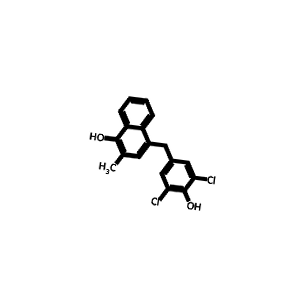 Cc1cc(Cc2cc(Cl)c(O)c(Cl)c2)c2ccccc2c1O